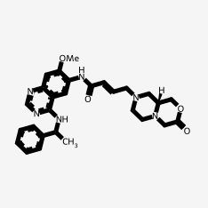 COc1cc2ncnc(NC(C)c3ccccc3)c2cc1NC(=O)C=CCN1CCN2CC(=O)OC[C@H]2C1